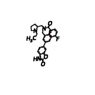 CCN1CCCC1CN(Cc1cc(-c2ccc3[nH]c(=O)oc3c2)ccc1F)C(=O)c1ccc(F)cc1